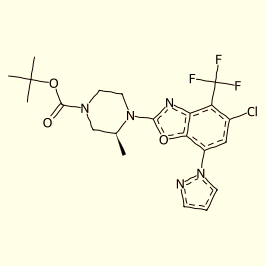 C[C@H]1CN(C(=O)OC(C)(C)C)CCN1c1nc2c(C(F)(F)F)c(Cl)cc(-n3cccn3)c2o1